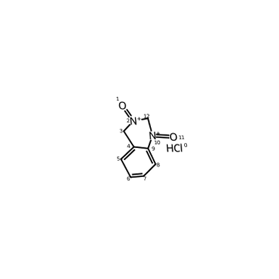 Cl.O=[N+]1Cc2ccccc2[N+](=O)C1